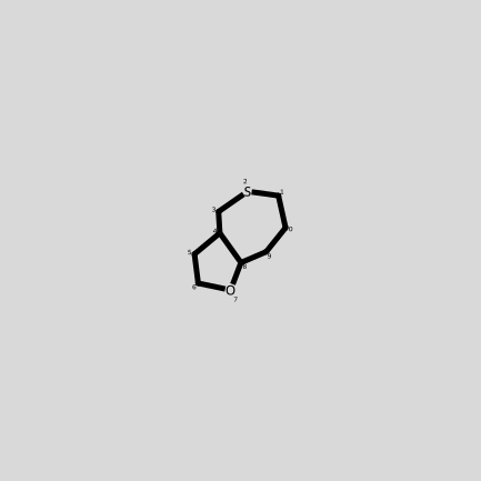 C1CSCC2CCOC2C1